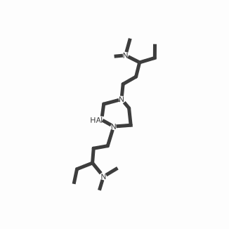 CCC(CCN1CC[N](CCC(CC)N(C)C)[AlH][CH2]1)N(C)C